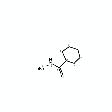 CC[C@@H](C)NC(=O)C1CCCCC1